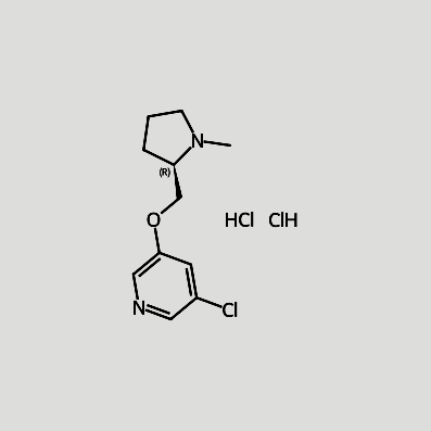 CN1CCC[C@@H]1COc1cncc(Cl)c1.Cl.Cl